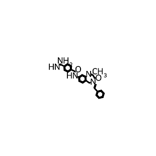 CC1=Nc2cc(NC(=O)c3ccc(C(=N)N)cc3)ccc2CN(C=Cc2ccccc2)C1=O